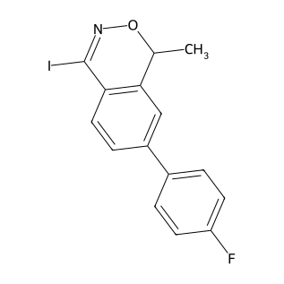 CC1ON=C(I)c2ccc(-c3ccc(F)cc3)cc21